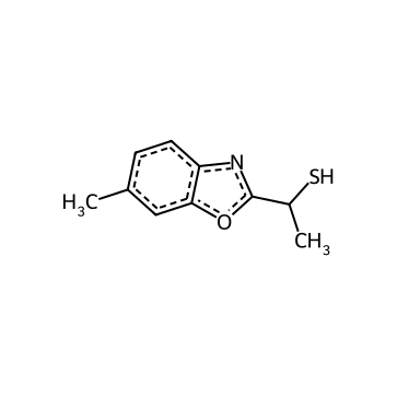 Cc1ccc2nc(C(C)S)oc2c1